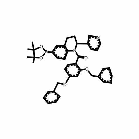 CC1(C)OB(c2ccc3c(c2)CCC(c2cccnc2)N3C(=O)c2ccc(OCc3ccccc3)cc2OCc2ccccc2)OC1(C)C